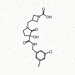 O=C(O)N1CC(CN2CCC(O)(C(=O)NCc3cc(F)cc(Cl)c3)C2=O)C1